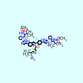 COC(=O)NC(C(=O)N1CCC[C@H]1c1ncc(-c2cc(F)c3c(c2)OC(c2cnc(C(C)(C)C)s2)n2c-3cc3cc(-c4cnc([C@@H]5CCCN5C(=O)C(NC(=O)OC)C(C)C)[nH]4)ccc32)[nH]1)C(C)C